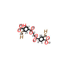 COC(=O)c1ccc(C(=O)OCCOC(=O)c2ccc(C(=O)O)c(S)c2)cc1S